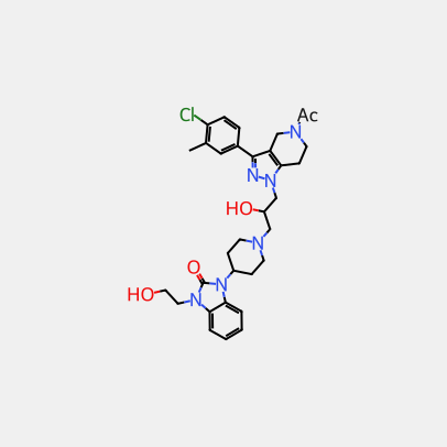 CC(=O)N1CCc2c(c(-c3ccc(Cl)c(C)c3)nn2CC(O)CN2CCC(n3c(=O)n(CCO)c4ccccc43)CC2)C1